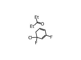 CCC(=O)CC.FC1=CC(F)(Cl)CC=C1